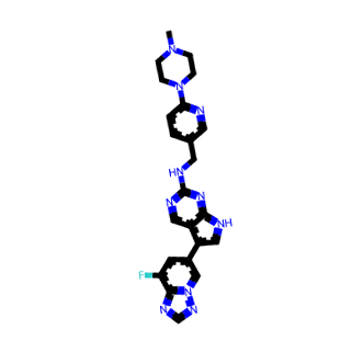 CN1CCN(c2ccc(CNc3ncc4c(-c5cc(F)c6ncnn6c5)c[nH]c4n3)cn2)CC1